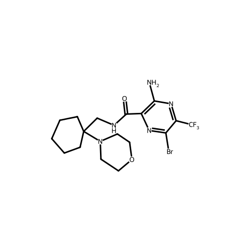 Nc1nc(C(F)(F)F)c(Br)nc1C(=O)NCC1(N2CCOCC2)CCCCC1